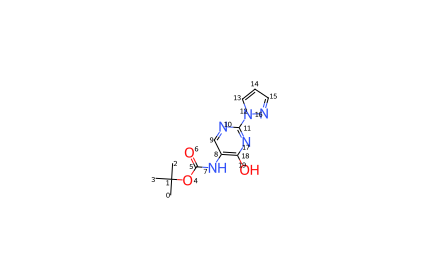 CC(C)(C)OC(=O)Nc1cnc(-n2cccn2)nc1O